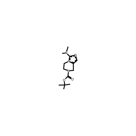 CN(C)c1ncc2n1CCN(C(=O)OC(C)(C)C)C2